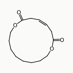 O=C1CC=CCC(=O)OCCCCCCCCO1